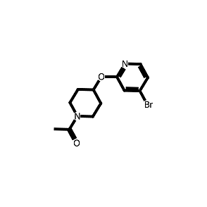 CC(=O)N1CCC(Oc2cc(Br)ccn2)CC1